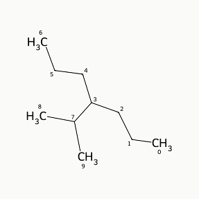 CCCC(CCC)C(C)C